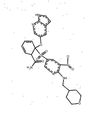 NC(=O)C1C=CC=CC1(Oc1cnc2[nH]ccc2c1)S(=O)(=O)c1cnc(NCC2CCOCC2)c([N+](=O)[O-])c1